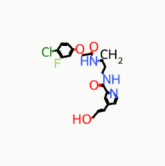 C=C(CCNC(=O)c1cc(/C=C/CO)ccn1)NC(=O)COc1ccc(Cl)c(F)c1